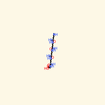 CNCCCC[C@H](NC)C(=O)NCCCCC(NC)C(=O)NCCCC[C@H](NC)C(=O)NCCCC[C@H](NC)C(=O)N[C@@H](C)C(=O)O